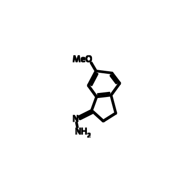 COc1ccc2c(c1)/C(=N/N)CC2